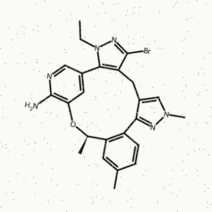 CCn1nc(Br)c2c1-c1cnc(N)c(c1)O[C@H](C)c1cc(C)ccc1-c1nn(C)cc1C2